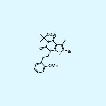 COc1ccccc1CCn1c(=O)n(C(C)(C)C(=O)O)c(=O)c2c(C)c(Br)sc21